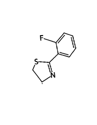 Fc1ccccc1C1=N[CH]CS1